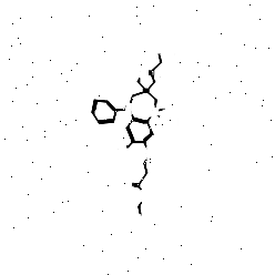 CCCCC1(CC)CN(c2ccccc2)c2cc(Cl)c(OCCC(=O)OCC)cc2S(O)(O)C1